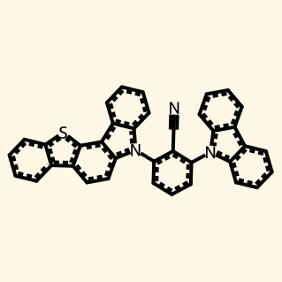 N#Cc1c(-n2c3ccccc3c3ccccc32)cccc1-n1c2ccccc2c2c3sc4ccccc4c3ccc21